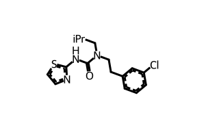 CC(C)CN(CCc1cccc(Cl)c1)C(=O)Nc1nccs1